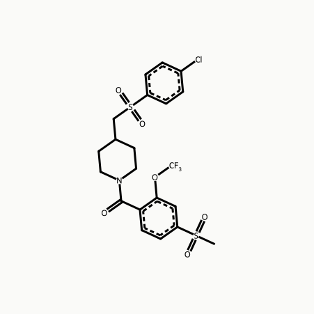 CS(=O)(=O)c1ccc(C(=O)N2CCC(CS(=O)(=O)c3ccc(Cl)cc3)CC2)c(OC(F)(F)F)c1